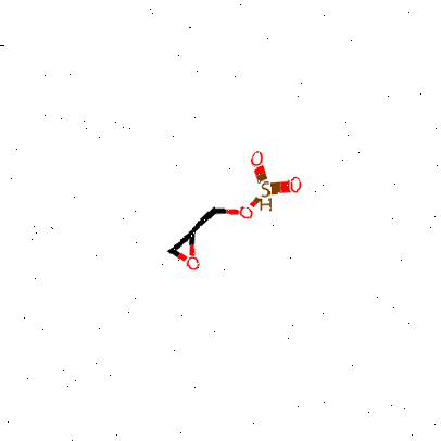 O=[SH](=O)OCC1CO1